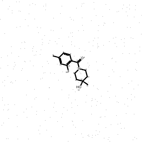 Cc1ccc(C(=O)N2CCC(C)(O)CC2)c(F)c1